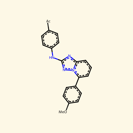 COc1ccc(-c2cccc3nc(Nc4ccc(C(C)=O)cc4)nn23)cc1